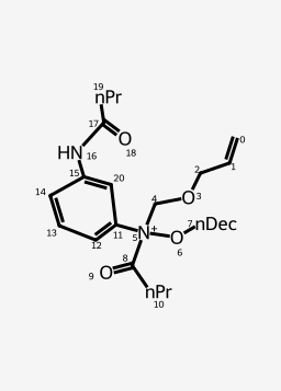 C=CCOC[N+](OCCCCCCCCCC)(C(=O)CCC)c1cccc(NC(=O)CCC)c1